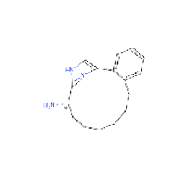 N[C@H]1CCCCCCc2ccccc2-c2c[nH]c1n2